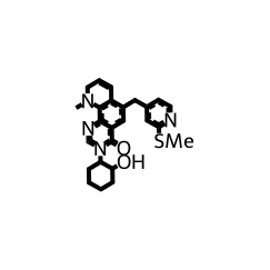 CSc1cc(Cc2cc3c(=O)n(C4CCCCC4O)cnc3c3c2C=CCN3C)ccn1